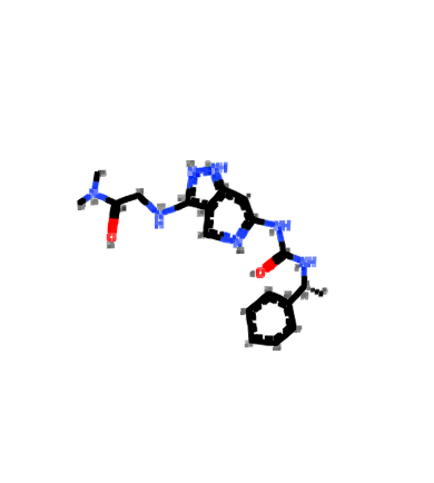 C[C@@H](NC(=O)Nc1cc2[nH]nc(NCC(=O)N(C)C)c2cn1)c1ccccc1